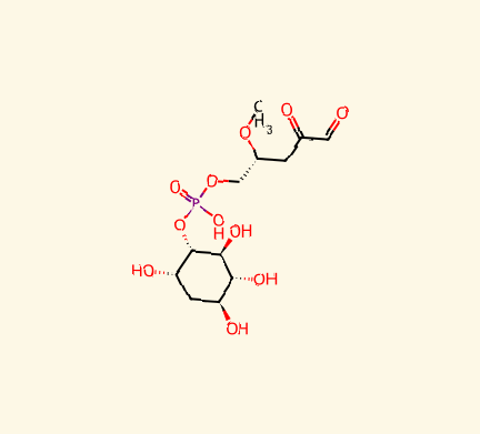 CO[C@@H](COP(=O)(O)O[C@@H]1[C@@H](O)[C@H](O)[C@@H](O)C[C@@H]1O)CC(=O)C=O